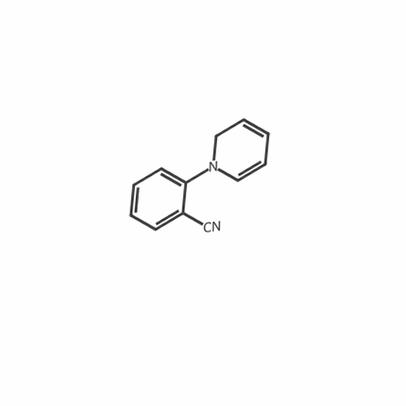 N#Cc1ccccc1N1C=CC=CC1